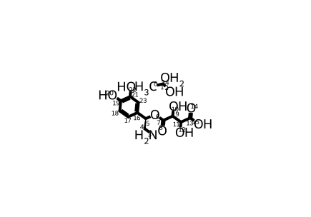 CCO.NC[C@H](OC(=O)C(O)C(O)C(=O)O)c1ccc(O)c(O)c1.O